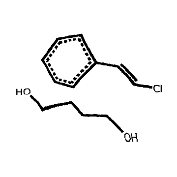 ClC=Cc1ccccc1.OCCCCO